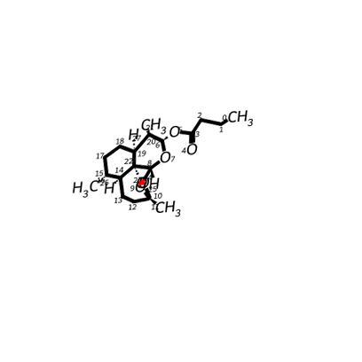 CCCC(=O)O[C@@H]1O[C@@H]2O[C@@]3(C)CC[C@H]4[C@H](C)CC[C@@H]([C@H]1C)[C@@]24OO3